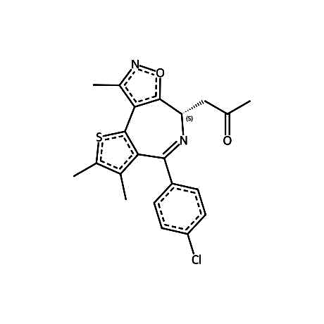 CC(=O)C[C@@H]1N=C(c2ccc(Cl)cc2)c2c(sc(C)c2C)-c2c(C)noc21